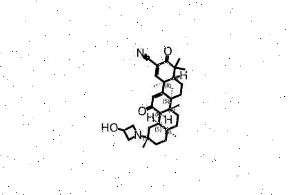 CC1(C)C(=O)C(C#N)=C[C@]2(C)C3=CC(=O)[C@@H]4[C@@H]5C[C@@](C)(N6CC(O)C6)CC[C@]5(C)CC[C@@]4(C)[C@]3(C)CC[C@@H]12